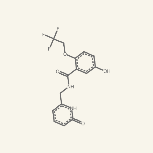 O=C(NCc1cccc(=O)[nH]1)c1cc(O)ccc1OCC(F)(F)F